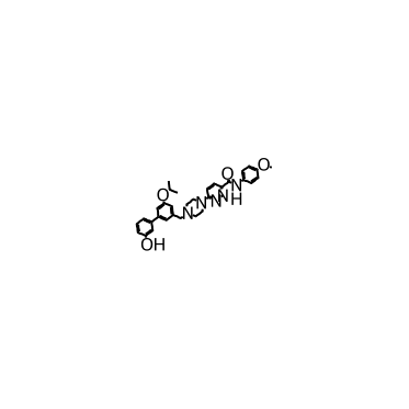 COc1ccc(NC(=O)c2ccc(N3CCN(Cc4cc(OC(C)C)cc(-c5cccc(O)c5)c4)CC3)nn2)cc1